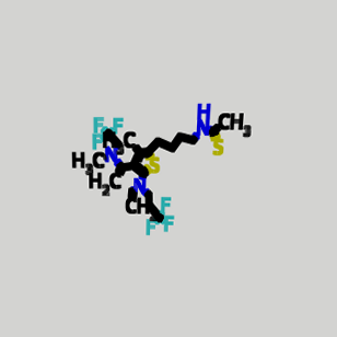 C=CN(CCC(F)(F)F)c1sc(CCCCNC(C)=S)c(C)c1C(=C)N(C)CC(F)(F)F